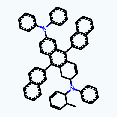 CC1C=CC=CC1N(c1ccccc1)C1C=Cc2c(c(-c3ccc4ccccc4c3)c3ccc(N(c4ccccc4)c4ccccc4)cc3c2-c2ccc3ccccc3c2)C1